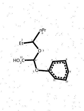 CCCC(CC)OC(Oc1ccccc1)C(=O)O